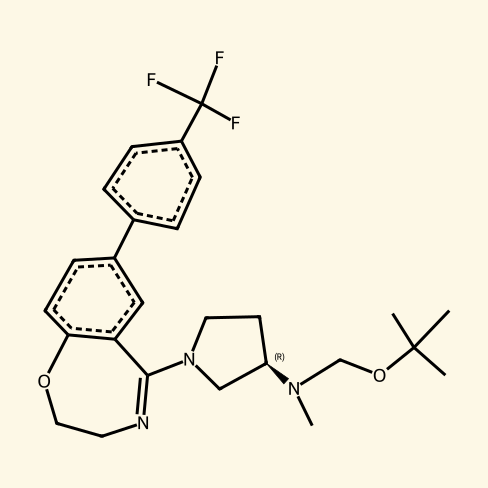 CN(COC(C)(C)C)[C@@H]1CCN(C2=NCCOc3ccc(-c4ccc(C(F)(F)F)cc4)cc32)C1